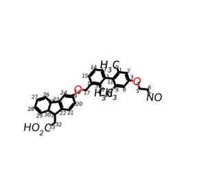 Cc1cc(OCCN=O)cc(C)c1-c1cccc(COc2ccc3c(c2)C2C=CC=CC2C3CC(=O)O)c1C